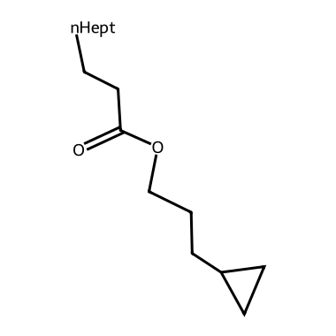 CCCCCCCCCC(=O)OCCCC1CC1